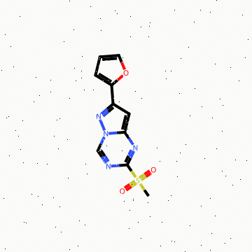 CS(=O)(=O)c1ncn2nc(-c3ccco3)cc2n1